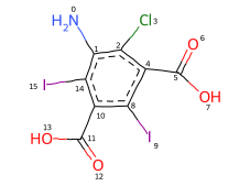 Nc1c(Cl)c(C(=O)O)c(I)c(C(=O)O)c1I